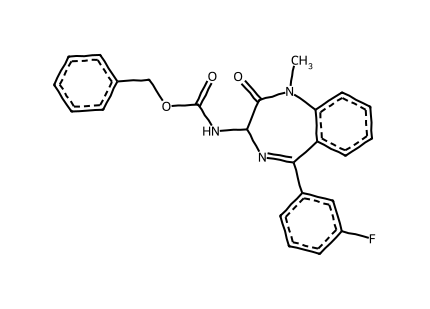 CN1C(=O)C(NC(=O)OCc2ccccc2)N=C(c2cccc(F)c2)c2ccccc21